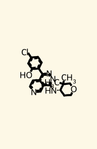 CC1(C)COCC[C@@H]1Nc1nnc(-c2ccc(Cl)cc2O)c2ccncc12